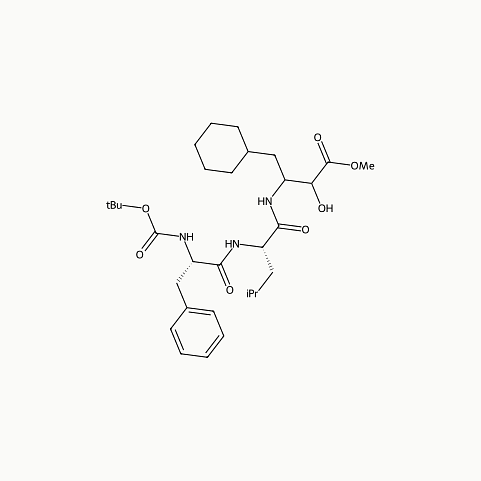 COC(=O)C(O)C(CC1CCCCC1)NC(=O)[C@H](CC(C)C)NC(=O)[C@H](Cc1ccccc1)NC(=O)OC(C)(C)C